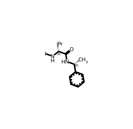 CC(C)[C@@H](NI)C(=O)N[C@H](C)c1ccccc1